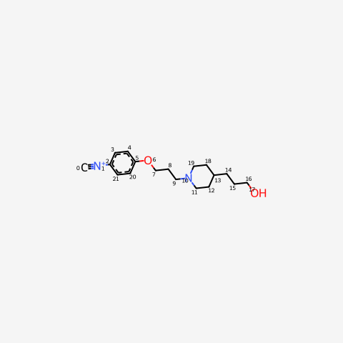 [C-]#[N+]c1ccc(OCCCN2CCC(CCCO)CC2)cc1